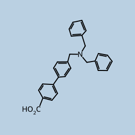 O=C(O)c1ccc(-c2ccc(CN(Cc3ccccc3)Cc3ccccc3)cc2)cc1